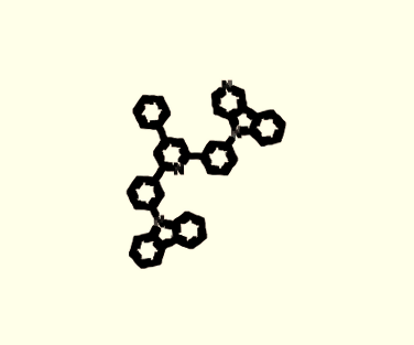 c1ccc(-c2cc(-c3cccc(-n4c5ccccc5c5ccccc54)c3)nc(-c3cccc(-n4c5ccccc5c5cnccc54)c3)c2)cc1